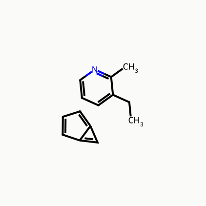 CCc1cccnc1C.c1cc2cc-2c1